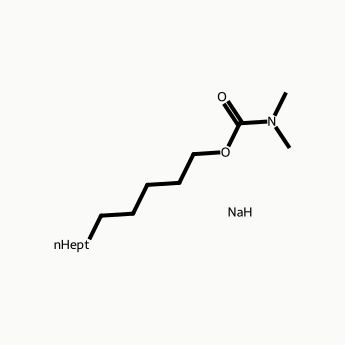 CCCCCCCCCCCCOC(=O)N(C)C.[NaH]